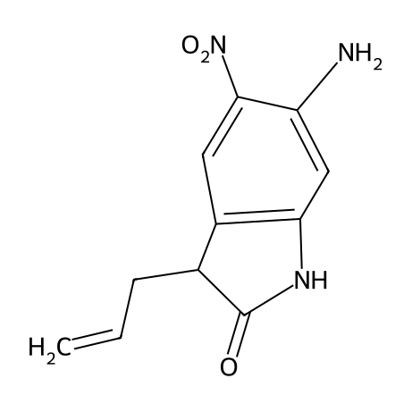 C=CCC1C(=O)Nc2cc(N)c([N+](=O)[O-])cc21